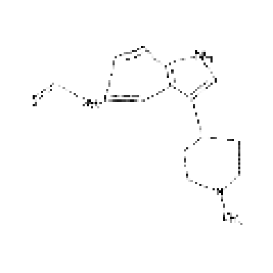 CN1CCC(c2c[nH]c3ccc(NC=S)cc23)CC1